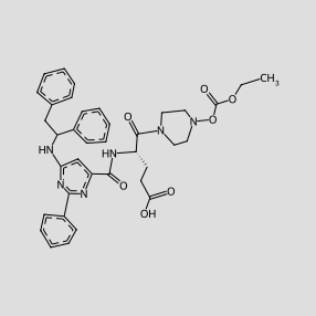 CCOC(=O)ON1CCN(C(=O)[C@H](CCC(=O)O)NC(=O)c2cc(NC(Cc3ccccc3)c3ccccc3)nc(-c3ccccc3)n2)CC1